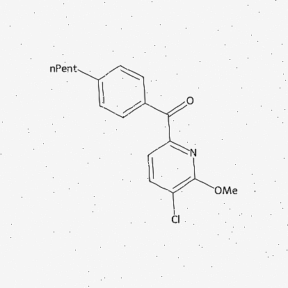 CCCCCc1ccc(C(=O)c2ccc(Cl)c(OC)n2)cc1